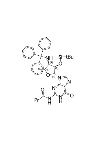 [CH2][C@@H]1O[C@@H](n2cnc3c(=O)[nH]c(NC(=O)C(C)C)nc32)[C@H](O[Si](C)(C)C(C)(C)C)[C@@H]1NC(c1ccccc1)(c1ccccc1)c1ccccc1